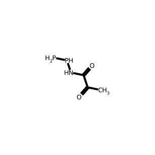 CC(=O)C(=O)NPP